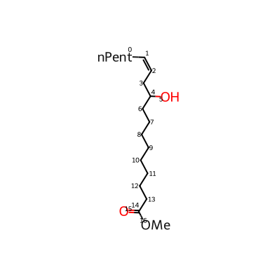 CCCCC/C=C\CC(O)CCCCCCCCC(=O)OC